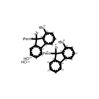 CCCC(C)[C]1([Zr])c2ccccc2-c2cccc(C(C)(C)C)c21.CCCC(C)[C]1([Zr])c2ccccc2-c2cccc(C(C)(C)C)c21.Cl.Cl